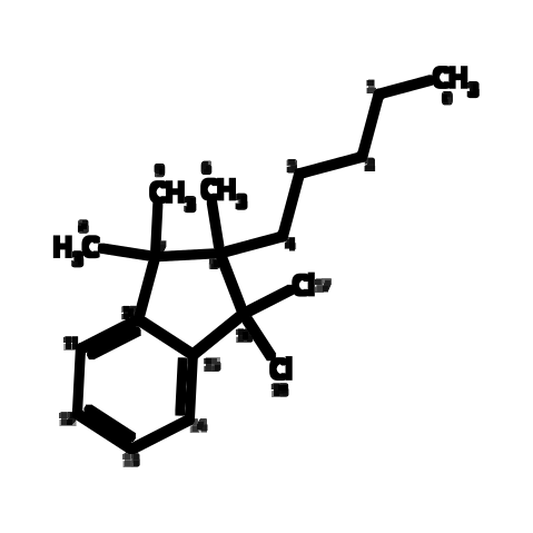 CCCCCC1(C)C(C)(C)c2ccccc2C1(Cl)Cl